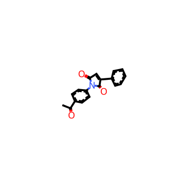 CC(=O)c1ccc(N2C(=O)C=C(c3ccccc3)C2=O)cc1